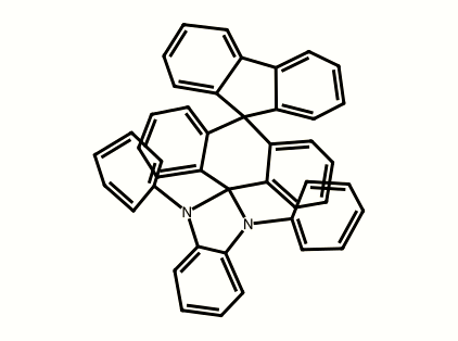 c1ccc(N2c3ccccc3N(c3ccccc3)C23c2ccccc2C2(c4ccccc4-c4ccccc42)c2ccccc23)cc1